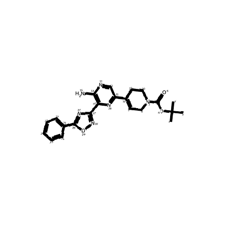 CC(C)(C)OC(=O)N1CC=C(c2cnc(N)c(-c3noc(-c4ccccc4)n3)n2)CC1